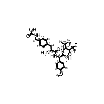 COc1ccc(C(NC(=O)C(N)Cc2ccc(CNC(=O)O)cc2)C(=O)NC(C(C)C)C(O)C(F)(F)F)cc1